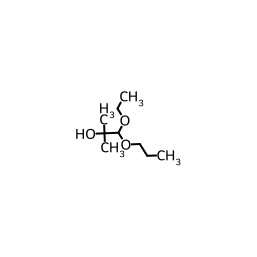 CCCOC(OCC)C(C)(C)O